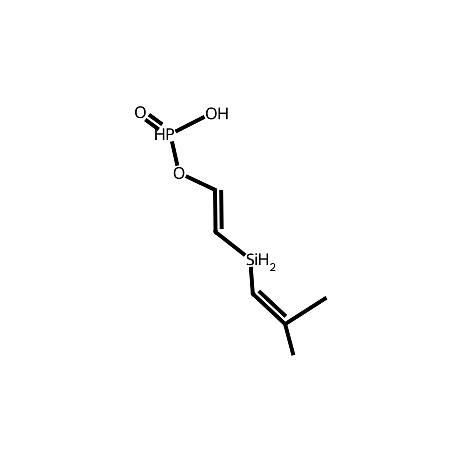 CC(C)=C[SiH2]C=CO[PH](=O)O